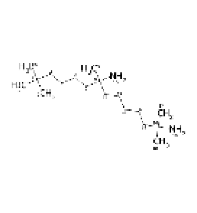 BC(C)(C)CCCCC(C)(N)CCCCCC(C)(C)N